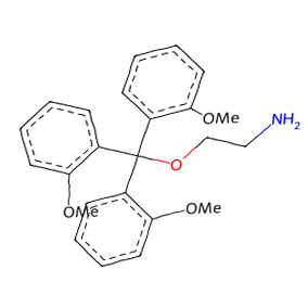 COc1ccccc1C(OCCN)(c1ccccc1OC)c1ccccc1OC